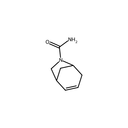 NC(=O)N1CC2C=CCC1C2